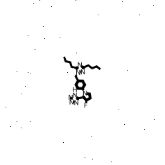 CCCCc1nc(CCCC)n(Cc2ccc(-n3ccc(F)c3-c3nnn[nH]3)cc2)n1